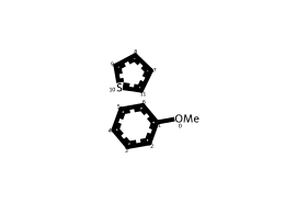 COc1ccccc1.c1ccsc1